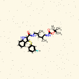 CC(CNC(=O)OC(C)(C)C)C[C@H](C)CNC(=O)c1[nH]c2ccccc2c1Sc1cccc(F)c1